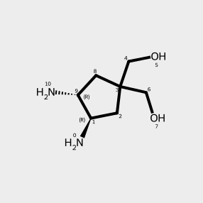 N[C@@H]1CC(CO)(CO)C[C@H]1N